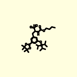 CCCCOC(=O)NC(Cc1cc(O[Si](C(C)C)(C(C)C)C(C)C)cc(B2OC(C)(C)C(C)(C)O2)c1)C(=O)O